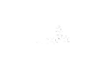 CCCCCCC(Oc1ccc(-c2nc(-c3ccc(C)cc3C)nc(-c3ccc(C)cc3C)n2)c(O)c1)C(=O)O